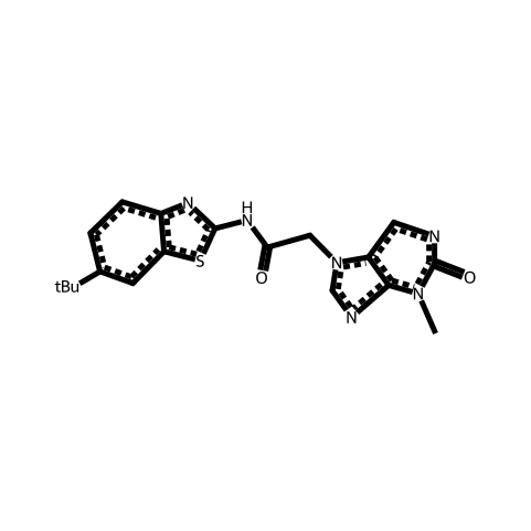 Cn1c(=O)ncc2c1ncn2CC(=O)Nc1nc2ccc(C(C)(C)C)cc2s1